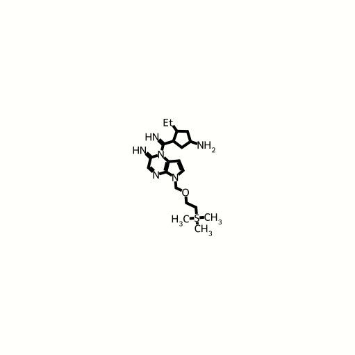 CCC1CC(N)CC1C(=N)n1c(=N)cnc2c1ccn2COCCS(C)(C)C